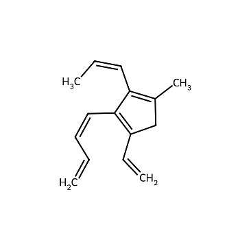 C=C/C=C\C1=C(C=C)CC(C)=C1/C=C\C